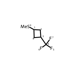 CSC1CC(C(F)(F)F)C1